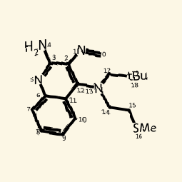 C=Nc1c(N)nc2ccccc2c1N(CCSC)CC(C)(C)C